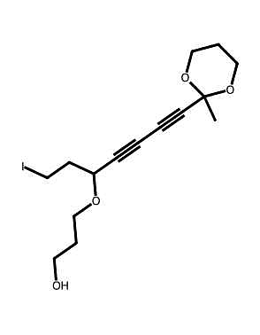 CC1(C#CC#CC(CCI)OCCCO)OCCCO1